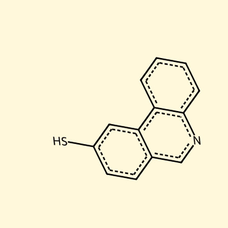 Sc1ccc2cnc3ccccc3c2c1